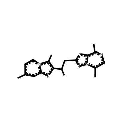 Cc1ccn2c(C)c(C(C)Cc3nc4c(C)ncc(C)n4n3)nc2c1